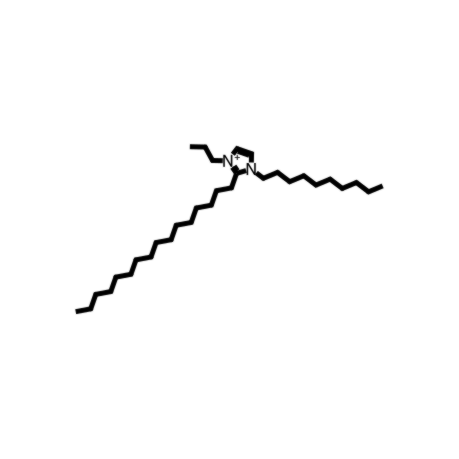 CCCCCCCCCCCCCCCCc1n(CCCCCCCCCC)cc[n+]1CCC